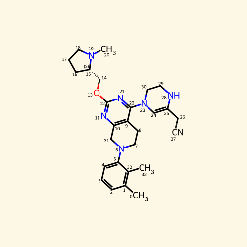 Cc1cccc(N2CCc3c(nc(OC[C@@H]4CCCN4C)nc3N3C=C(CC#N)NCC3)C2)c1C